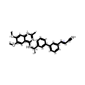 COc1cc2nc(C)nc(N[C@H](C)c3cccc(-c4cccc(/C=C/C#N)c4)c3)c2cc1OC